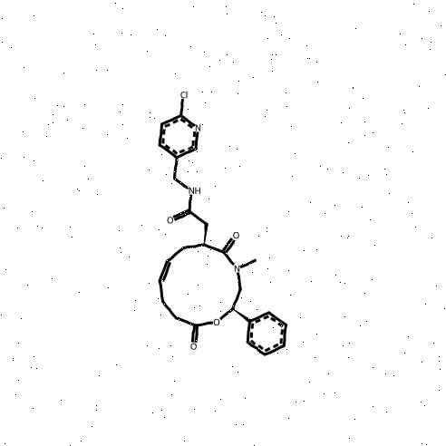 CN1C[C@@H](c2ccccc2)OC(=O)CCC=CC[C@@H](CC(=O)NCc2ccc(Cl)nc2)C1=O